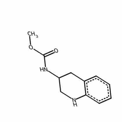 COC(=O)NC1CNc2ccccc2C1